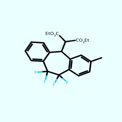 CCOC(=O)C(C(=O)OCC)C1c2ccccc2C(F)(F)C(F)(F)c2ccc(C)cc21